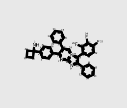 NC1(c2ccc(-c3nc4nc(-c5ccccc5)c(-c5ccc(F)c(F)c5F)n4cc3-c3ccccc3)cc2)CCC1